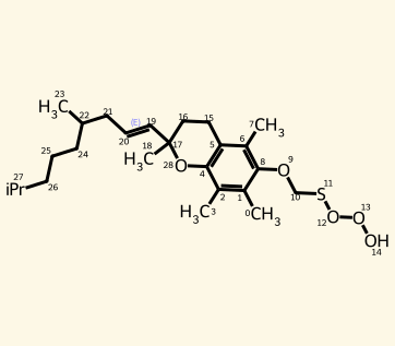 Cc1c(C)c2c(c(C)c1OCSOOO)CCC(C)(/C=C/CC(C)CCCC(C)C)O2